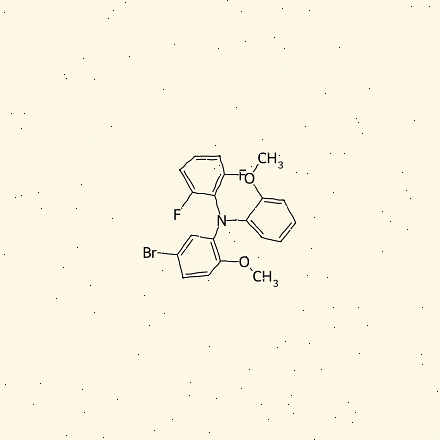 COc1ccccc1N(c1cc(Br)ccc1OC)c1c(F)cccc1F